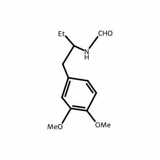 CCC(Cc1ccc(OC)c(OC)c1)NC=O